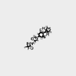 CC(F)(F)C(=O)NC[C@H]1CN(c2cc(F)c(C3[C@H]4CSC[C@@H]34)c(F)c2)CO1